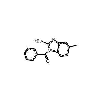 Cc1ccc2c(c1)nc(C(C)(C)C)n2C(=O)c1ccccc1